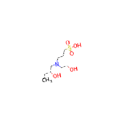 CCC(O)CN(CCO)CCCS(=O)(=O)O